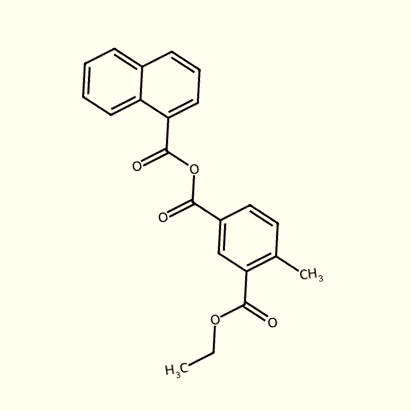 CCOC(=O)c1cc(C(=O)OC(=O)c2cccc3ccccc23)ccc1C